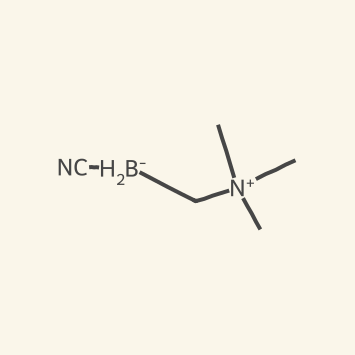 C[N+](C)(C)C[BH2-]C#N